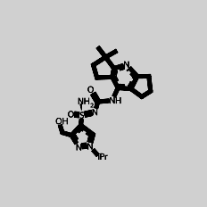 CC(C)n1cc([S@@](N)(=O)=NC(=O)Nc2c3c(nc4c2CCC4(C)C)CCC3)c(CO)n1